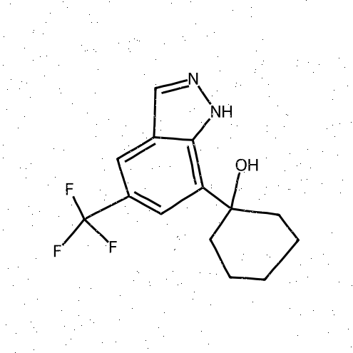 OC1(c2cc(C(F)(F)F)cc3cn[nH]c23)CCCCC1